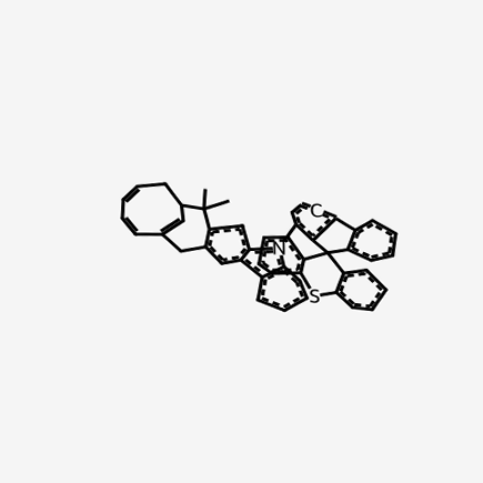 CC1(C)c2cc3c(cc2CC2=CC1C/C=C\C=C/2)c1ccccc1n3-c1cccc2c1C1(c3ccccc3Sc3ccccc31)c1ccccc1-2